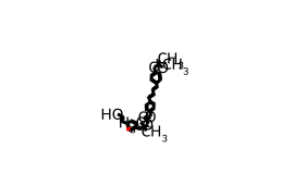 CCC(OC)Oc1ccc(C=CC=Cc2ccc(OC(=O)OC(C)(C)Cc3ccc(C=CO)cc3)cc2)cc1